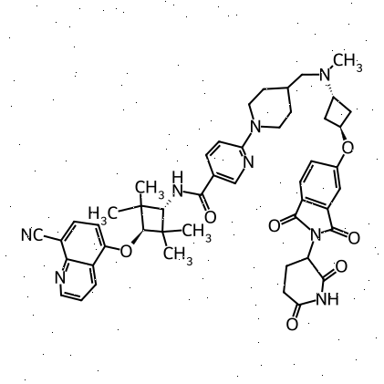 CN(CC1CCN(c2ccc(C(=O)N[C@H]3C(C)(C)[C@H](Oc4ccc(C#N)c5ncccc45)C3(C)C)cn2)CC1)[C@H]1C[C@H](Oc2ccc3c(c2)C(=O)N(C2CCC(=O)NC2=O)C3=O)C1